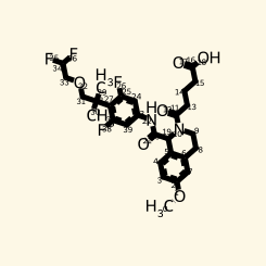 COc1ccc2c(c1)CCN(C(=O)CCCC(=O)O)C2C(=O)Nc1cc(F)c(C(C)(C)COCC(F)F)c(F)c1